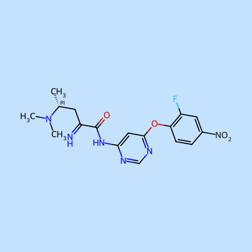 C[C@H](CC(=N)C(=O)Nc1cc(Oc2ccc([N+](=O)[O-])cc2F)ncn1)N(C)C